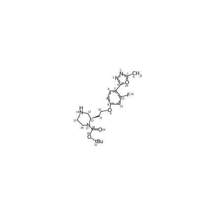 Cc1nnc(-c2ccc(OCC[C@@H]3CNCCN3C(=O)OC(C)(C)C)cc2F)o1